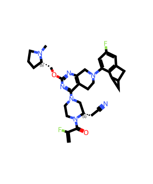 C=C(F)C(=O)N1CCN(c2nc(OC[C@@H]3CCCN3C)nc3c2CCN(c2cc(F)cc4c2C2CC2C4)C3)C[C@@H]1CC#N